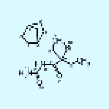 C1CC2CCC1C2.CCC(Br)(CC)C(=O)NC(N)=O